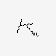 CCCCC(CCC)CCC(CCC)CCCCN